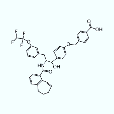 O=C(O)c1ccc(COc2ccc(C(O)C(Cc3cccc(OC(F)(F)C(F)F)c3)NC(=O)c3cccc4c3C=CCCC4)cc2)cc1